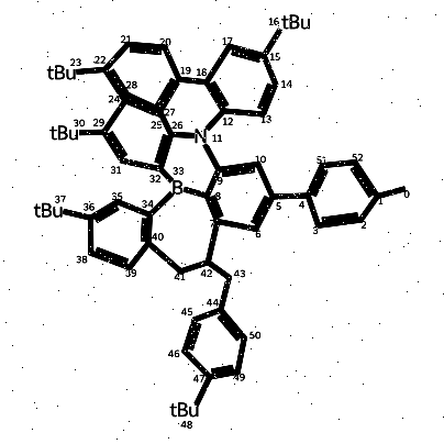 Cc1ccc(-c2cc3c4c(c2)N(c2ccc(C(C)(C)C)cc2-c2ccc(C(C)(C)C)cc2)c2ccc(C(C)(C)C)cc2B4c2cc(C(C)(C)C)ccc2CC3Cc2ccc(C(C)(C)C)cc2)cc1